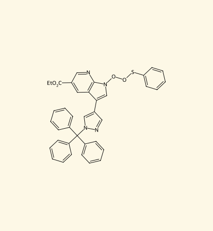 CCOC(=O)c1cnc2c(c1)c(-c1cnn(C(c3ccccc3)(c3ccccc3)c3ccccc3)c1)cn2OOSc1ccccc1